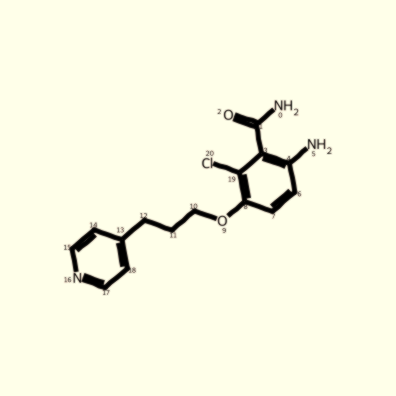 NC(=O)c1c(N)ccc(OCCCc2ccncc2)c1Cl